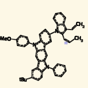 C=Cc1c(/C=C\C)n(-c2ccc3c(c2)c2cc4c(cc2n3-c2ccc(OC)cc2)c2cc(C(C)(C)C)ccc2n4-c2ccccc2)c2ccccc12